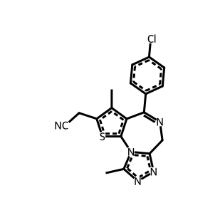 Cc1c(CC#N)sc2c1C(c1ccc(Cl)cc1)=NCc1nnc(C)n1-2